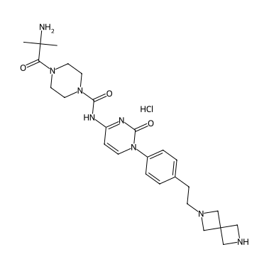 CC(C)(N)C(=O)N1CCN(C(=O)Nc2ccn(-c3ccc(CCN4CC5(CNC5)C4)cc3)c(=O)n2)CC1.Cl